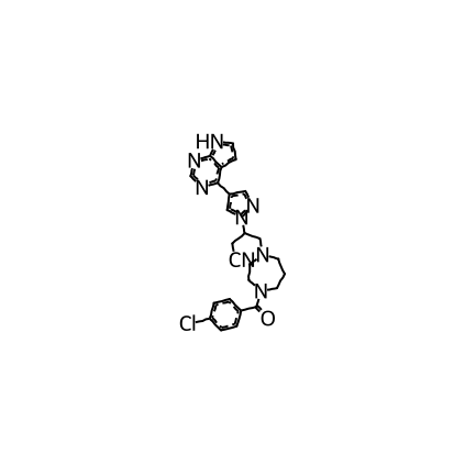 N#CCC(CN1CCCN(C(=O)c2ccc(Cl)cc2)CC1)n1cc(-c2ncnc3[nH]ccc23)cn1